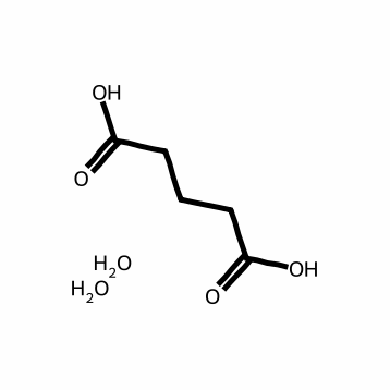 O.O.O=C(O)CCCC(=O)O